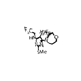 CSc1nc(NCC(F)(F)F)c(C)c(N2CCOC[C@H]2C)n1